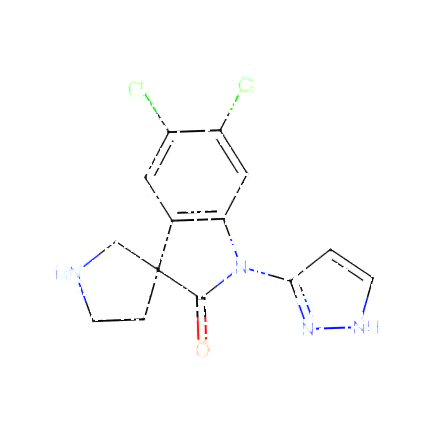 O=C1N(c2cc[nH]n2)c2cc(Cl)c(Cl)cc2C12CCNC2